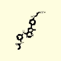 C=CC(=O)Nc1cccc(Nc2ncnc3[nH]c(-c4ccc(NCCNC)cc4)cc23)c1